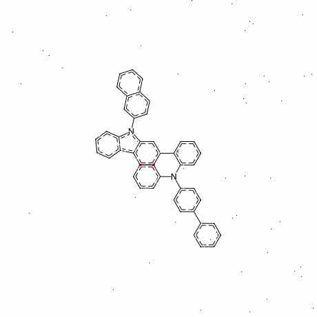 c1ccc(-c2ccc(N(c3ccccc3)c3ccccc3-c3ccc4c5ccccc5n(-c5ccc6ccccc6c5)c4c3)cc2)cc1